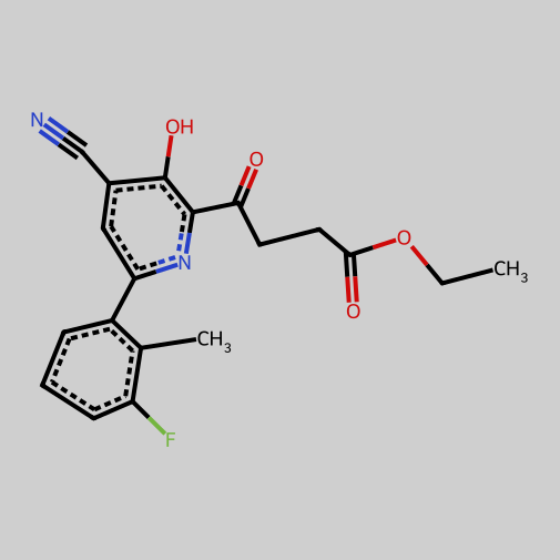 CCOC(=O)CCC(=O)c1nc(-c2cccc(F)c2C)cc(C#N)c1O